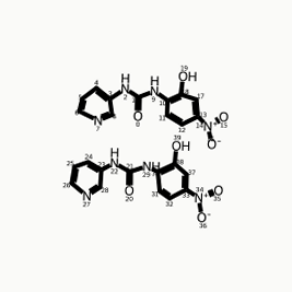 O=C(Nc1cccnc1)Nc1ccc([N+](=O)[O-])cc1O.O=C(Nc1cccnc1)Nc1ccc([N+](=O)[O-])cc1O